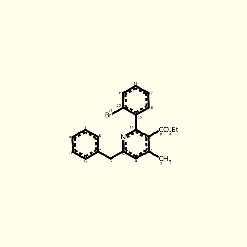 CCOC(=O)c1c(C)cc(Cc2ccccc2)nc1-c1ccccc1Br